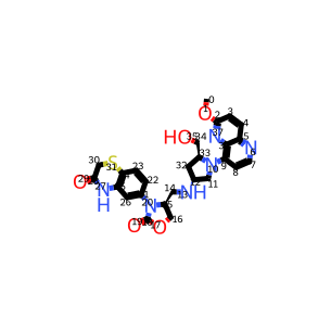 COc1ccc2nccc(N3C[C@H](NC[C@H]4COC(=O)N4c4ccc5c(c4)NC(=O)CS5)C[C@H]3CO)c2n1